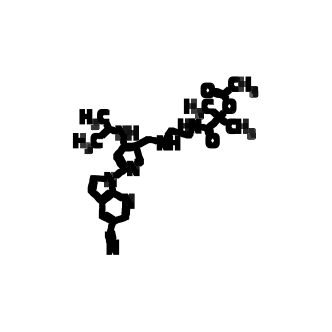 CC(=O)OC(C)(C)C(=O)NCCNCc1cnc(-n2ccc3cc(C#N)cnc32)cc1NC(C)C